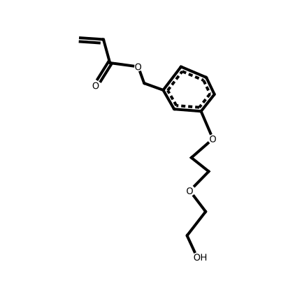 C=CC(=O)OCc1cccc(OCCOCCO)c1